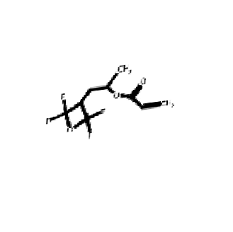 C=CC(=O)OC(C)CC1C(F)(F)OC1(F)F